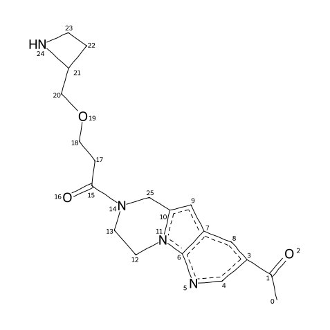 CC(=O)c1cnc2c(c1)cc1n2CCN(C(=O)CCOCC2CCN2)C1